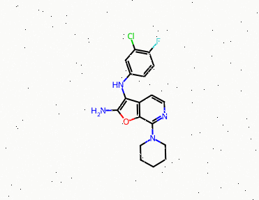 Nc1oc2c(N3CCCCC3)nccc2c1Nc1ccc(F)c(Cl)c1